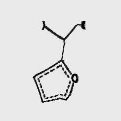 IC(I)c1ccco1